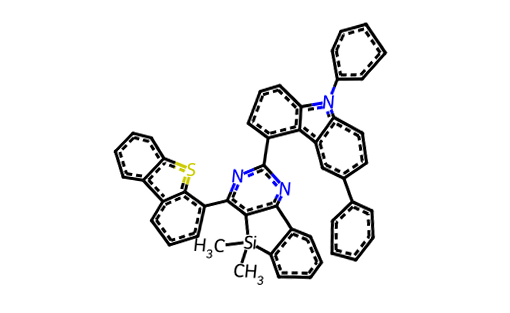 C[Si]1(C)c2ccccc2-c2nc(-c3cccc4c3c3cc(-c5ccccc5)ccc3n4-c3ccccc3)nc(-c3cccc4c3sc3ccccc34)c21